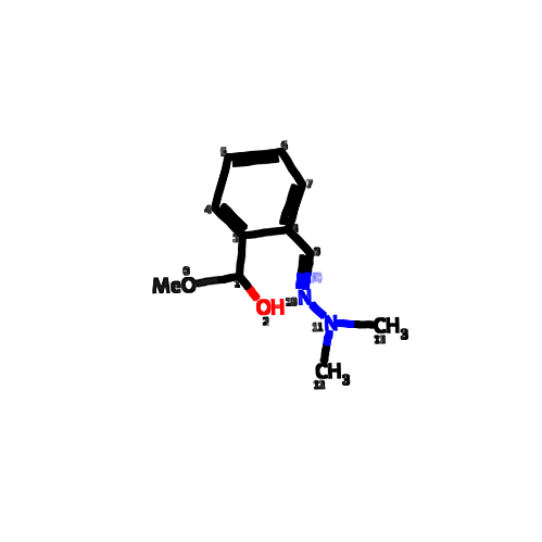 COC(O)c1ccccc1/C=N/N(C)C